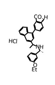 CCOc1cccc([C@@H](C)NC(C)c2cc(-c3ccc(C)c(C(=O)O)c3)c3ccccc3c2)c1.Cl